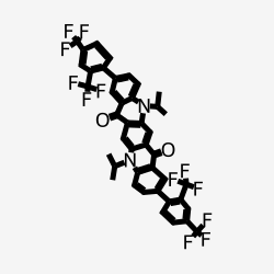 CC(C)n1c2ccc(-c3ccc(C(F)(F)F)cc3C(F)(F)F)cc2c(=O)c2cc3c(cc21)c(=O)c1cc(-c2ccc(C(F)(F)F)cc2C(F)(F)F)ccc1n3C(C)C